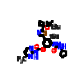 CC(C)(C)c1c(NC(=O)NC2CCCC2)cc(OC(=O)Nc2nccc(C(F)(F)F)n2)cc1-c1cnc(C2(O[Si](C)(C)C(C)(C)C)CCC2)s1